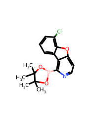 CC1(C)OB(c2nccc3oc4c(Cl)cccc4c23)OC1(C)C